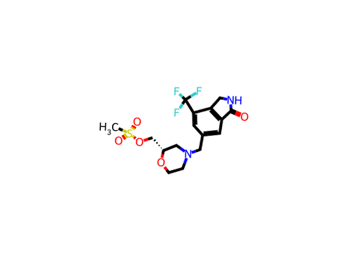 CS(=O)(=O)OC[C@@H]1CN(Cc2cc3c(c(C(F)(F)F)c2)CNC3=O)CCO1